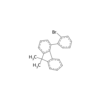 CC1(C)c2ccccc2-c2c(-c3ccccc3Br)cccc21